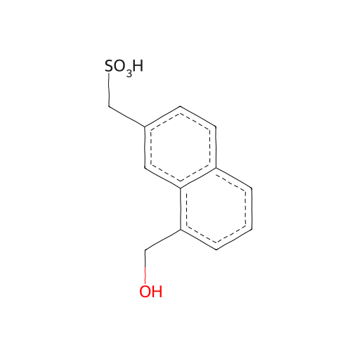 O=S(=O)(O)Cc1ccc2cccc(CO)c2c1